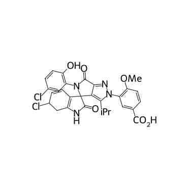 COc1ccc(C(=O)O)cc1-n1nc2c(c1C(C)C)C1(C(=O)NC3=C1C=CC(Cl)C3)N(c1cc(Cl)ccc1O)C2=O